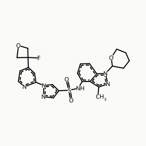 Cc1nn(C2CCCCO2)c2cccc(NS(=O)(=O)c3cnn(-c4cc(C5(F)COC5)ccn4)c3)c12